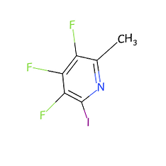 Cc1nc(I)c(F)c(F)c1F